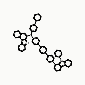 c1ccc(-c2ccc(N(c3ccc(-c4ccc(-c5ccc(-c6cccc7c8ccccc8n(-c8ccccc8)c67)cc5)cc4)cc3)c3cc4ccccc4c4c3oc3ccccc34)cc2)cc1